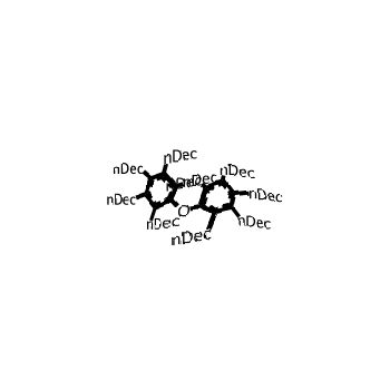 CCCCCCCCCCc1c(CCCCCCCCCC)c(CCCCCCCCCC)c(Oc2c(CCCCCCCCCC)c(CCCCCCCCCC)c(CCCCCCCCCC)c(CCCCCCCCCC)c2CCCCCCCCCC)c(CCCCCCCCCC)c1CCCCCCCCCC